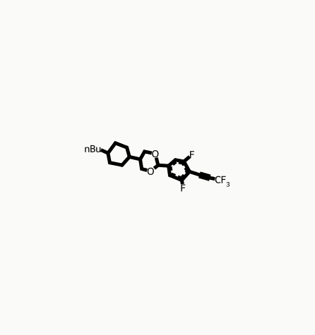 CCCCC1CCC(C2COC(c3cc(F)c(C#CC(F)(F)F)c(F)c3)OC2)CC1